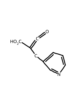 O=C=C(Cc1cccnc1)C(=O)O